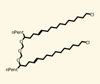 CCCCCC(CCC=CCCCCCCCCCCCl)OCOCOC(CCC=CCCCCCCCCCCCl)CCCCC